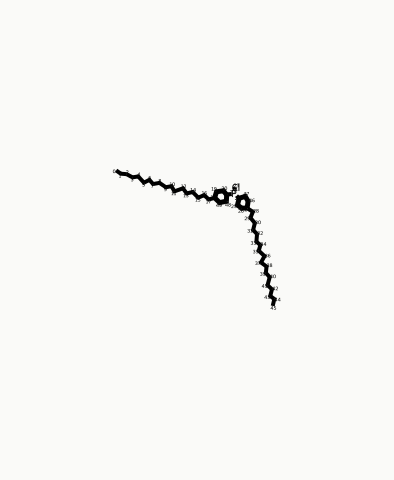 CCCCCCCCCCCCCCCCCCc1ccc(P(Cl)c2ccc(CCCCCCCCCCCCCCCCCC)cc2)cc1